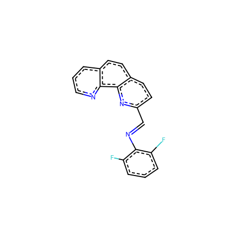 Fc1cccc(F)c1N=Cc1ccc2ccc3cccnc3c2n1